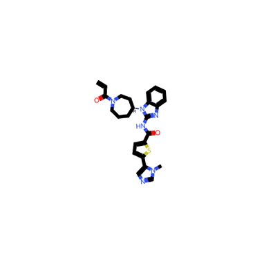 C=CC(=O)N1CCC[C@@H](n2c(NC(=O)c3ccc(-c4cncn4C)s3)nc3ccccc32)CC1